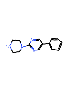 c1ccc(-c2cnc(N3CCNCC3)nc2)cc1